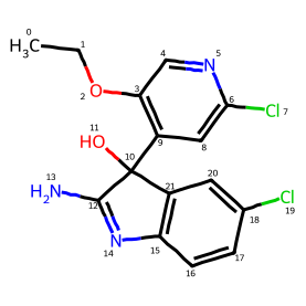 CCOc1cnc(Cl)cc1C1(O)C(N)=Nc2ccc(Cl)cc21